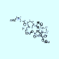 CCCC/C=C\CCOc1ccc(-c2noc(C3CCCN3C(=NC(=O)OC(C)(C)C)NC(=O)OC(C)(C)C)n2)cc1C(F)(F)F